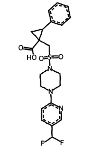 O=C(O)C1(CS(=O)(=O)N2CCN(c3ccc(C(F)F)cn3)CC2)CC1c1ccccc1